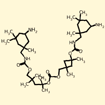 CC1(C)CC(N)CC(C)(CNC(=O)OCC(C)(C)CC(C)(C)OC(=O)OCC2(C)CC(C)(OC(=O)NCC3(C)CC(N)CC(C)(C)C3)C2)C1